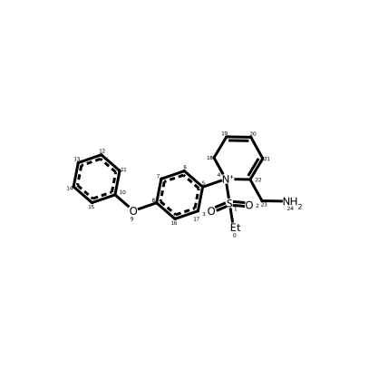 CCS(=O)(=O)[N+]1(c2ccc(Oc3ccccc3)cc2)CC=CC=C1CN